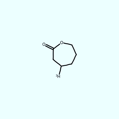 [2H]C1CCCOC(=O)C1